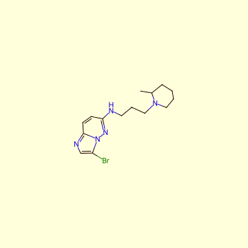 CC1CCCCN1CCCNc1ccc2ncc(Br)n2n1